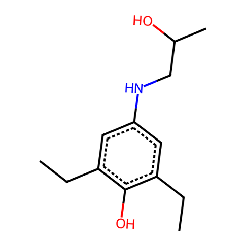 CCc1cc(NCC(C)O)cc(CC)c1O